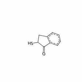 O=C1c2ccccc2CC1S